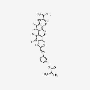 C=C(C)C(=O)Nc1c(F)c(F)c(-c2c(F)c(F)c(NC(=O)/C=C/c3cccc(COC(=O)C(=C)C)c3)c(F)c2F)c(F)c1F